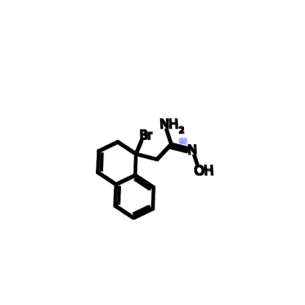 N/C(CC1(Br)CC=Cc2ccccc21)=N/O